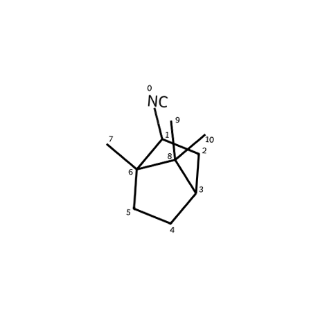 [C-]#[N+]C1CC2CCC1(C)C2(C)C